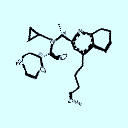 COCCCCc1cc([C@@H](C)N(C(=O)[C@H]2CNCCO2)C2CC2)nc2c1CCCC2